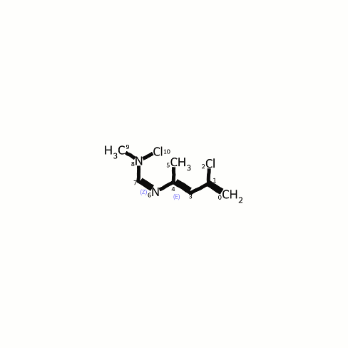 C=C(Cl)/C=C(C)/N=C\N(C)Cl